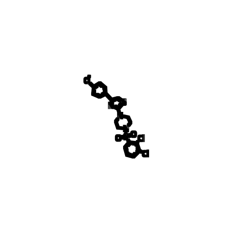 COc1ccc(-c2csc(N3CCN(S(=O)(=O)c4cccc(Cl)c4Cl)CC3)n2)cc1